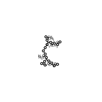 CC1(C)c2ccccc2-c2ccc(N(c3ccc(-c4ccc(-c5cccc(-c6ccc7c(c6)C(C)(C)c6cc(N(c8ccc(-c9ccccc9-c9ccccc9)cc8)c8ccc9c(c8)C(C)(C)c8cc(-c%10cccc%11c%10oc%10ccccc%10%11)ccc8-9)ccc6-7)c5)cc4)cc3)c3ccc4c(c3)C(C)(C)c3cc(-c5cccc6c5oc5ccccc56)ccc3-4)cc21